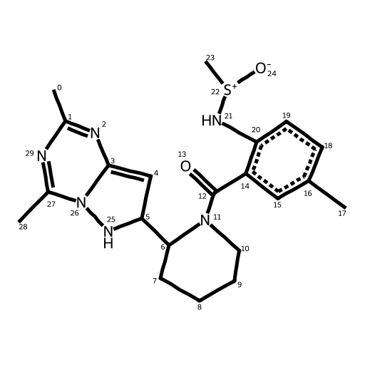 CC1=NC2=CC(C3CCCCN3C(=O)c3cc(C)ccc3N[S+](C)[O-])NN2C(C)=N1